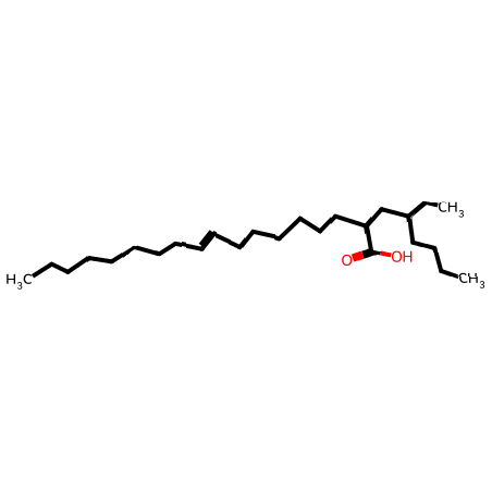 CCCCCCCCC=CCCCCCCC(CC(CC)CCCC)C(=O)O